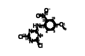 COc1ccc(Nc2nc(Cl)nc(Cl)n2)c([N+](=O)[O-])c1